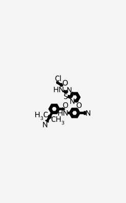 CC(C)(C#N)c1cccc(C(=O)Nc2ccc(C#N)c(Oc3ccc4nc(NC(=O)CCl)sc4n3)c2)c1